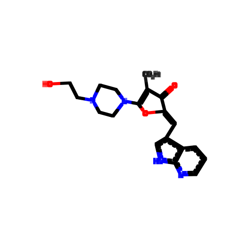 CCOC(=O)C1=C(N2CCN(CCO)CC2)OC(=Cc2c[nH]c3ncccc23)C1=O